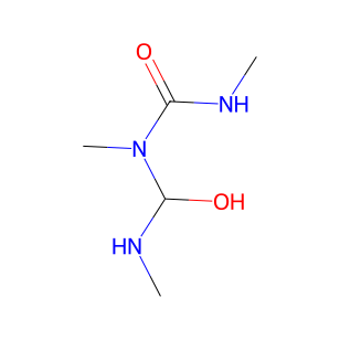 CNC(=O)N(C)C(O)NC